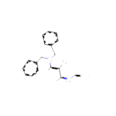 C=C/N=C(Cl)\C(=C(/C)N(Cc1ccccc1)Cc1ccccc1)[N+](=O)[O-]